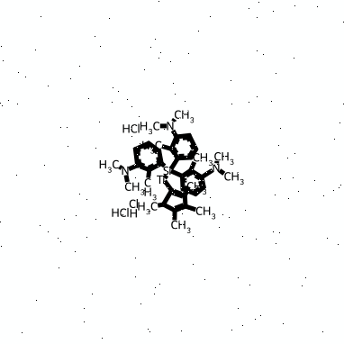 CC1=C(C)C(C)[C]([Ti][Si](c2cccc(N(C)C)c2C)(c2cccc(N(C)C)c2C)c2cccc(N(C)C)c2C)=C1C.Cl.Cl.Cl